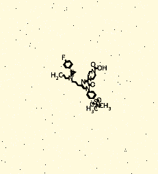 C=CCN(CCCc1cn(-c2ccc(S(=O)(=O)N(C)C)cc2)c(=O)c(N2CCN(C(=O)O)CC2)n1)[C@@H]1C[C@H]1c1ccc(F)cc1